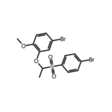 COc1ccc(Br)cc1OC(C)S(=O)(=O)c1ccc(Br)cc1